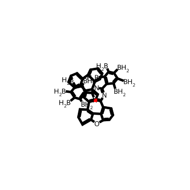 Bc1c(B)c(B)c(-c2nc(-c3c(B)c(B)c(B)c(B)c3B)nc(-c3cccc4oc5cccc(-c6ccc7c8ccccc8c8ccccc8c7c6)c5c34)n2)c(B)c1B